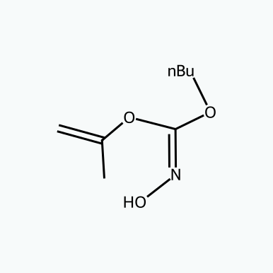 C=C(C)OC(=NO)OCCCC